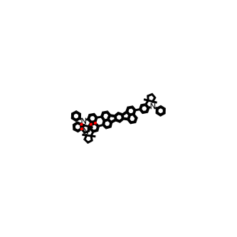 CC12CCCC1(C)N(c1ccccc1)c1ccc(-c3ccc4c5cc6c(cc5c5cccc3c54)c3ccc(-c4ccc5c(c4)C4(C)CCCC4(C)N5c4ccccc4)c4c(-c5ccc7c(c5)C5(C)CCCC5(C)N7c5ccccc5)ccc6c43)cc12